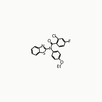 CCOc1ccc(N(C(=O)c2ccc(F)cc2Cl)c2nc3ccccc3s2)cc1